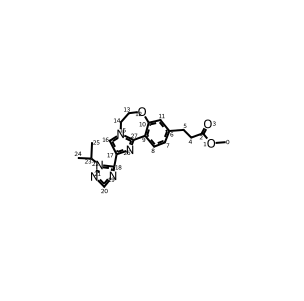 COC(=O)CCc1ccc2c(c1)OCCn1cc(-c3ncnn3C(C)C)nc1-2